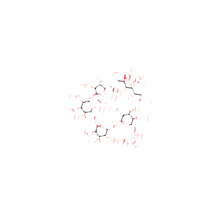 O.O.O.O.OC[C@@H](O)[C@@H](O)[C@H](O)[C@H](O)CO.OC[C@H]1O[C@H](OC[C@H]2O[C@H](OC[C@H]3O[C@H](O[C@]4(CO)O[C@H](CO)[C@@H](O)[C@@H]4O)[C@H](O)[C@@H](O)[C@@H]3O)[C@H](O)[C@@H](O)[C@H]2O)[C@H](O)[C@@H](O)[C@H]1O